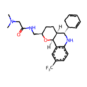 CN(C)CC(=O)NC[C@H]1CC[C@@H]2[C@H](O1)c1cc(C(F)(F)F)ccc1N[C@H]2C1C=CC=CC1